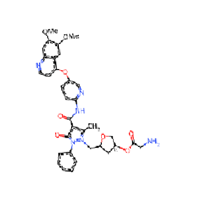 COc1cc2nccc(Oc3ccc(NC(=O)c4c(C)n(CC5C[C@H](OC(=O)CN)CO5)n(-c5ccccc5)c4=O)nc3)c2cc1OC